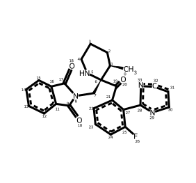 C[C@@H]1CCCN[C@@]1(CN1C(=O)c2ccccc2C1=O)C(=O)c1cccc(F)c1-c1ncccn1